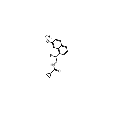 COc1ccc2cccc(C(F)CNC(=O)C3CC3)c2c1